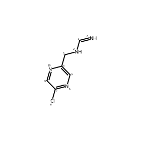 N=CNCc1cnc(Cl)cn1